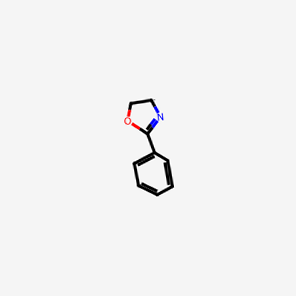 [CH]1COC(c2ccccc2)=N1